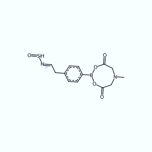 CN1CC(=O)OB(c2ccc(C/C=N/[SiH]=O)cc2)OC(=O)C1